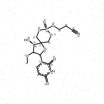 COC1C(n2ccc(=O)[nH]c2=O)OC2(COP(=O)(OCCC#N)OC2)[C@@H]1O